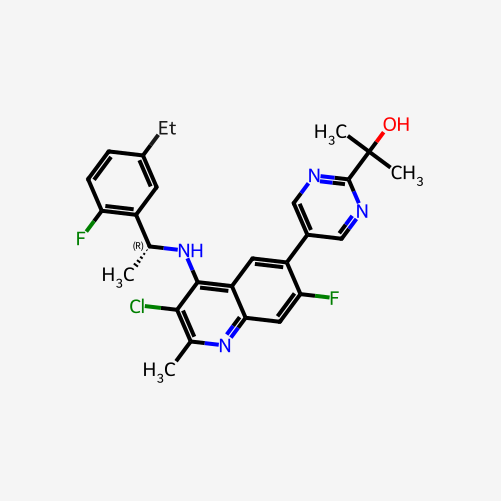 CCc1ccc(F)c([C@@H](C)Nc2c(Cl)c(C)nc3cc(F)c(-c4cnc(C(C)(C)O)nc4)cc23)c1